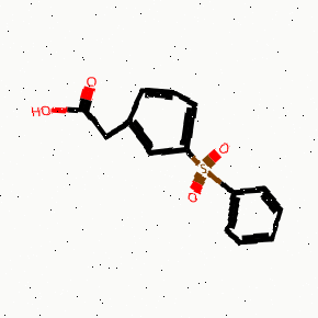 O=C(O)Cc1cccc(S(=O)(=O)c2ccccc2)c1